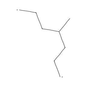 [CH2]CCC(C)CC[CH2]